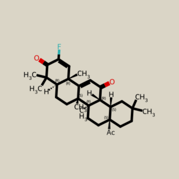 CC(=O)[C@]12CCC(C)(C)C[C@H]1[C@H]1C(=O)C=C3[C@@]4(C)C=C(F)C(=O)C(C)(C)[C@@H]4CC[C@@]3(C)[C@]1(C)CC2